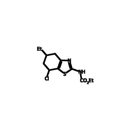 CCOC(=O)Nc1nc2c(s1)C(Cl)CC(CC)C2